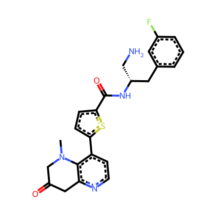 CN1CC(=O)Cc2nccc(-c3ccc(C(=O)N[C@H](CN)Cc4cccc(F)c4)s3)c21